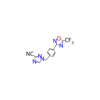 N#Cc1ncn(Cc2ccc(-c3noc(C(F)(F)F)n3)cc2)n1